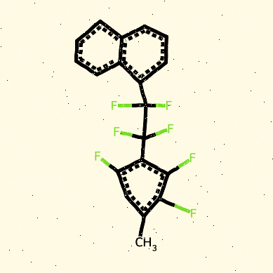 Cc1cc(F)c(C(F)(F)C(F)(F)c2cccc3ccccc23)c(F)c1F